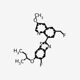 C[CH][C@H](C)Oc1cc2sc(-c3cc(CF)cc4cc(OC)cnc34)nc2cc1F